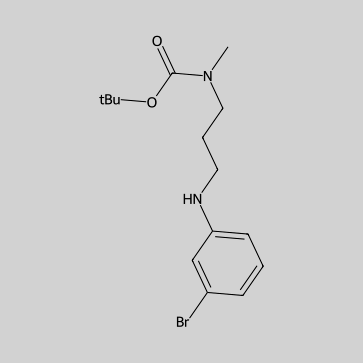 CN(CCCNc1cccc(Br)c1)C(=O)OC(C)(C)C